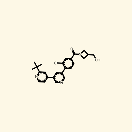 CC(C)(C)c1cc(-c2cncc(-c3ccc(C(=O)N4CC(CO)C4)cc3Cl)c2)ccn1